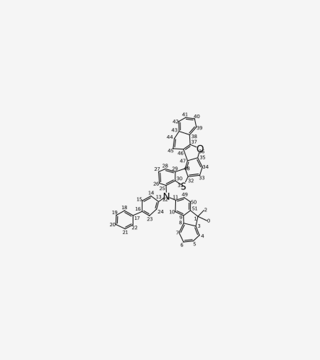 CC1(C)c2ccccc2-c2cc(N(c3ccc(-c4ccccc4)cc3)c3cccc4c3sc3ccc5oc6c7ccccc7ccc6c5c34)ccc21